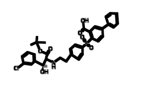 CC(C)(C)OC(=O)C(NCCc1ccc(S(=O)(=O)c2ccc(-c3ccccc3)cc2C(=O)O)cc1)[C@H](O)c1cccc(Cl)c1